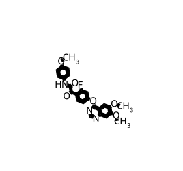 COc1ccc(NC(=O)C(=O)c2ccc(Oc3ncnc4cc(OC)c(OC)cc34)cc2F)cc1